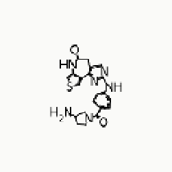 NC1CCN(C(=O)c2ccc(Nc3ncc4c(n3)-c3cscc3NC(=O)C4)cc2)C1